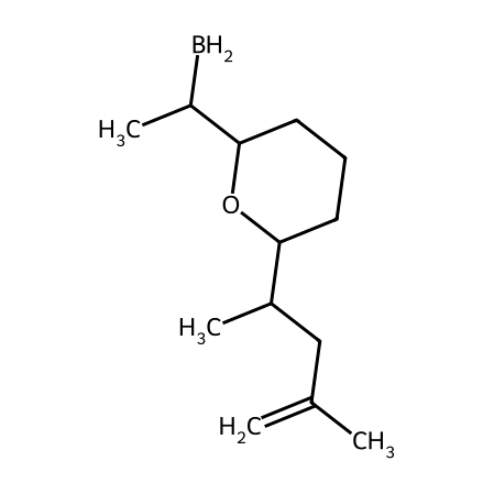 BC(C)C1CCCC(C(C)CC(=C)C)O1